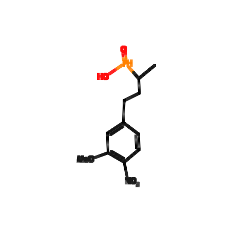 COc1cc(CCC(C)[PH](=O)O)ccc1[N+](=O)[O-]